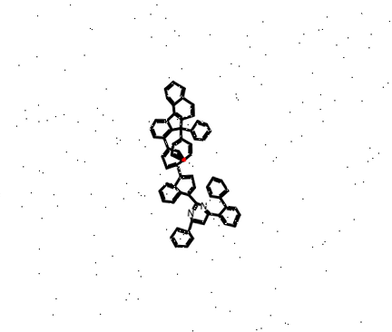 c1ccc(-c2cc(-c3ccccc3-c3ccccc3)nc(-c3ccc(-c4ccc(-c5cccc6c5C(c5ccccc5)(c5ccccc5)c5ccc7ccccc7c5-6)cc4)c4ccccc34)n2)cc1